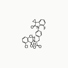 O=C(N[C@@H](Cc1ccc(N2C(=O)C3(CC3)c3cccc(F)c32)cc1)C(=O)O)c1c(Cl)cccc1Cl